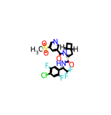 CS(=O)(=O)c1cncc(C(=O)N2[C@@H](C(=O)N[C@@H](c3cc(F)c(Cl)cc3F)C(F)F)C[C@H]3CC[C@H]32)c1